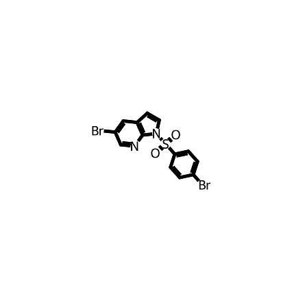 O=S(=O)(c1ccc(Br)cc1)n1ccc2cc(Br)cnc21